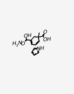 CC1(C(=O)O)C=CC=C(C(=O)O)C1.N.c1cc[nH]c1